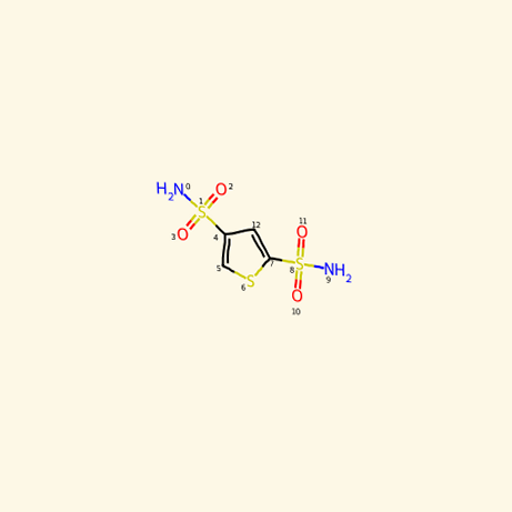 NS(=O)(=O)c1csc(S(N)(=O)=O)c1